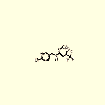 CSC(=CC(=O)C(F)(F)F)NCc1ccc(Cl)nc1